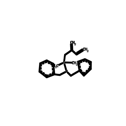 C=CC(=C)CS(C)(C)N(Cc1ccccc1)Cc1ccccc1